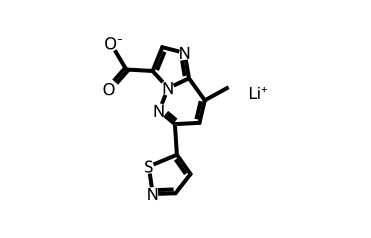 Cc1cc(-c2ccns2)nn2c(C(=O)[O-])cnc12.[Li+]